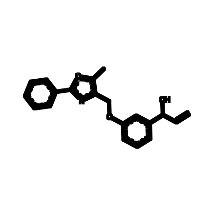 C=CC(O)c1cccc(OCc2nc(-c3ccccc3)oc2C)c1